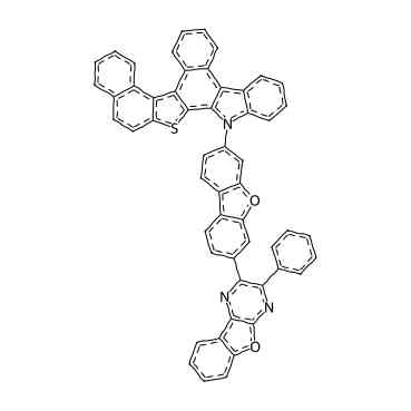 c1ccc(-c2nc3oc4ccccc4c3nc2-c2ccc3c(c2)oc2cc(-n4c5ccccc5c5c6ccccc6c6c(sc7ccc8ccccc8c76)c54)ccc23)cc1